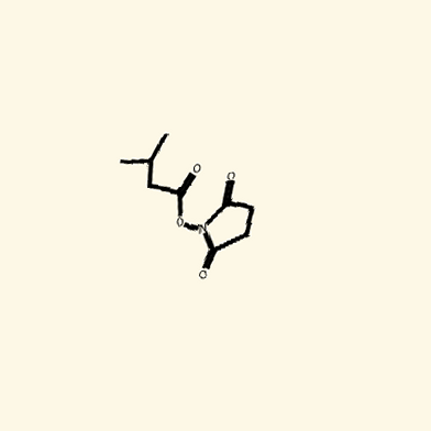 CC(C)CC(=O)ON1C(=O)CCC1=O